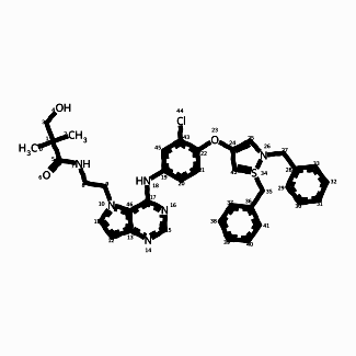 CC(C)(CO)C(=O)NCCn1ccc2ncnc(Nc3ccc(OC4=CN(Cc5ccccc5)S(Cc5ccccc5)=C4)c(Cl)c3)c21